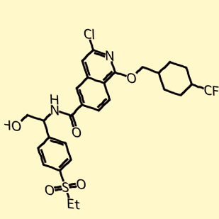 CCS(=O)(=O)c1ccc(C(CO)NC(=O)c2ccc3c(OCC4CCC(C(F)(F)F)CC4)nc(Cl)cc3c2)cc1